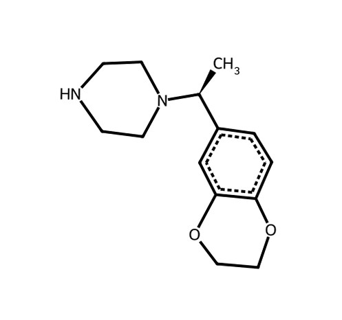 C[C@@H](c1ccc2c(c1)OCCO2)N1CCNCC1